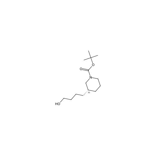 CC(C)(C)OC(=O)N1CCC[C@H](CCCCO)C1